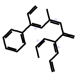 C=C/C=C(\C=C/C)C(=C)/C=C(C)\C=C(/C=C)c1ccccc1